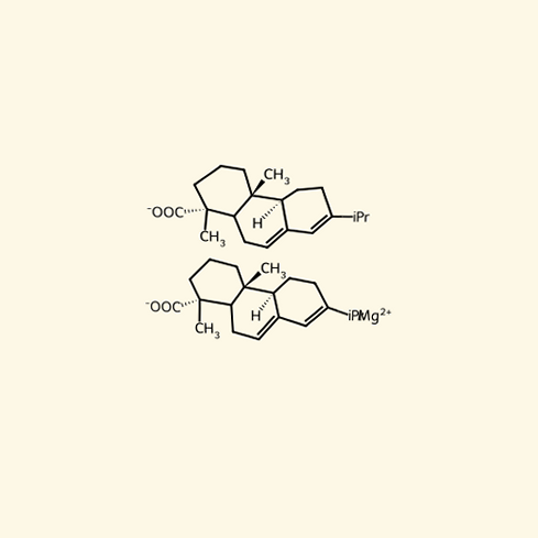 CC(C)C1=CC2=CCC3[C@](C)(C(=O)[O-])CCC[C@]3(C)[C@H]2CC1.CC(C)C1=CC2=CCC3[C@](C)(C(=O)[O-])CCC[C@]3(C)[C@H]2CC1.[Mg+2]